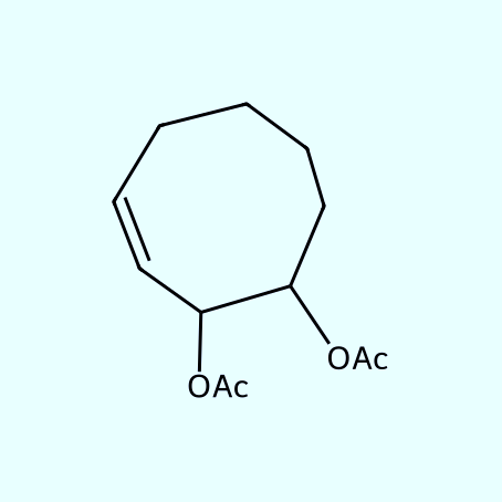 CC(=O)OC1C=CCCCCC1OC(C)=O